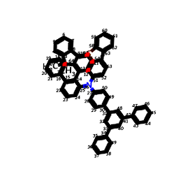 CC1(C)c2ccccc2-c2cccc(-c3c(-c4ccccc4)cccc3N(c3ccc(-c4cc(-c5ccccc5)cc(-c5ccccc5)c4)cc3)c3ccc4c(c3)sc3ccccc34)c21